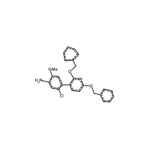 COc1cc(-c2ccc(OCc3ccccc3)nc2OCc2ccccc2)c(Cl)cc1N